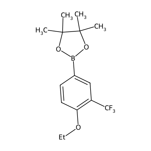 CCOc1ccc(B2OC(C)(C)C(C)(C)O2)cc1C(F)(F)F